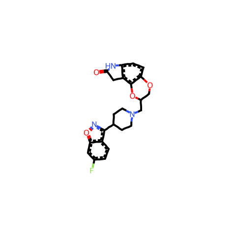 O=C1Cc2c(ccc3c2OC(CN2CCC(c4noc5cc(F)ccc45)CC2)CO3)N1